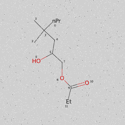 CCCC(C)(C)CC(O)COC(=O)CC